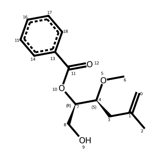 C=C(C)C[C@H](OC)[C@@H](CO)OC(=O)c1ccccc1